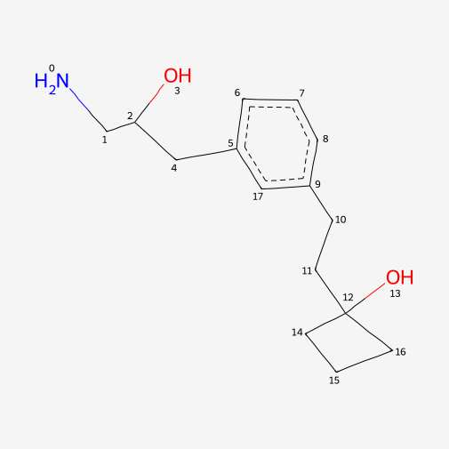 NCC(O)Cc1cccc(CCC2(O)CCC2)c1